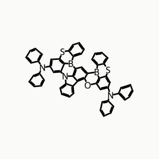 c1ccc(N(c2ccccc2)c2cc3c4c(c2)Sc2ccccc2B4c2cc4c5c(c2O3)c2ccccc2n5-c2cc(N(c3ccccc3)c3ccccc3)cc3c2B4c2ccccc2S3)cc1